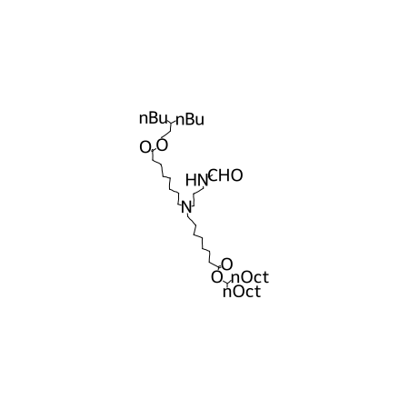 CCCCCCCCC(CCCCCCCC)OC(=O)CCCCCCCN(CCCCCCCC(=O)OCCC(CCCC)CCCC)CCCNC=O